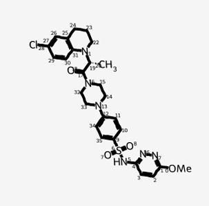 COc1ccc(NS(=O)(=O)c2ccc(N3CCN(C(=O)[C@@H](C)N4CCCc5cc(Cl)ccc54)CC3)cc2)nn1